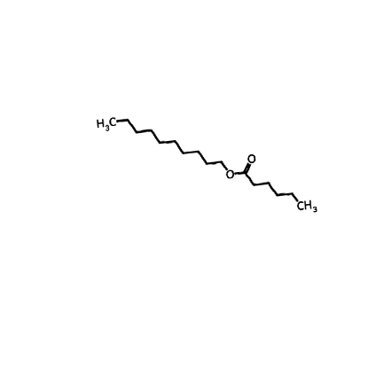 CCCCCCCCCCOC(=O)CCCCC